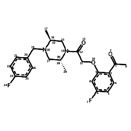 CC(=O)c1ccc(F)cc1OCC(=O)N1C[C@H](C)N(Cc2ccc(F)cc2)C[C@H]1C